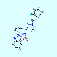 COCCn1nc2ccccc2c1C(=O)NCC1CCN(CCc2ccccc2F)CC1